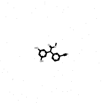 COC(=O)C(c1cc(O)cc(O)c1)c1cccc(C#N)c1